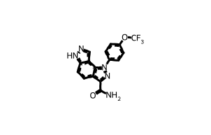 NC(=O)c1nn(-c2ccc(OC(F)(F)F)cc2)c2c1ccc1[nH]ncc12